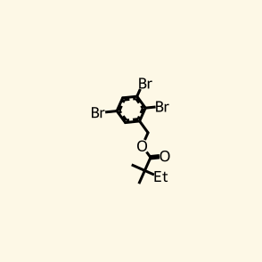 CCC(C)(C)C(=O)OCc1cc(Br)cc(Br)c1Br